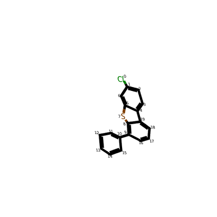 Clc1ccc2c(c1)sc1c(-c3ccccc3)cccc12